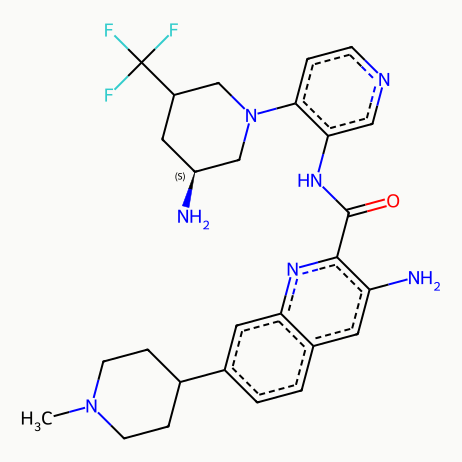 CN1CCC(c2ccc3cc(N)c(C(=O)Nc4cnccc4N4CC(C(F)(F)F)C[C@H](N)C4)nc3c2)CC1